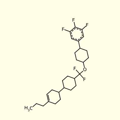 CCCC1=CCC(C2CCC(C(F)(F)OC3CCC(c4cc(F)c(F)c(F)c4)CC3)CC2)CC1